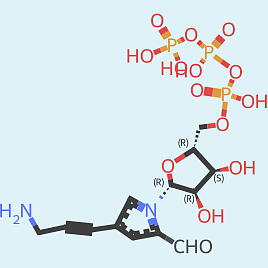 NCC#Cc1cc(C=O)n([C@@H]2O[C@H](COP(=O)(O)OP(=O)(O)OP(=O)(O)O)[C@@H](O)[C@H]2O)c1